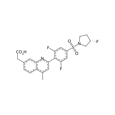 Cc1cc(-c2c(F)cc(S(=O)(=O)N3CC[C@H](F)C3)cc2F)nc2cc(CC(=O)O)ccc12